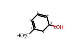 O=C(O)C1=CC=C[C](O)C1